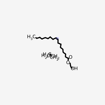 C=C.C=C.CCCCCCCC/C=C\CCCCCCCC(=O)OCCO